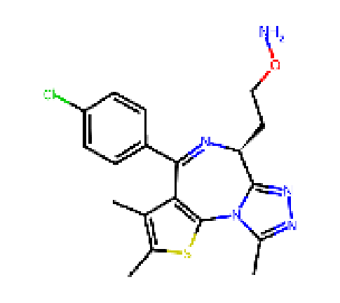 Cc1sc2c(c1C)C(c1ccc(Cl)cc1)=N[C@@H](CCON)c1nnc(C)n1-2